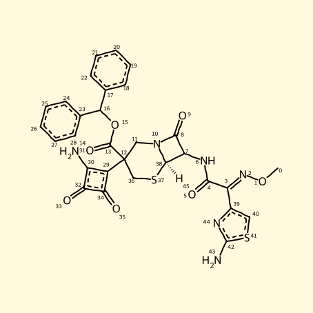 CON=C(C(=O)NC1C(=O)N2CC(C(=O)OC(c3ccccc3)c3ccccc3)(c3c(N)c(=O)c3=O)CS[C@H]12)c1csc(N)n1